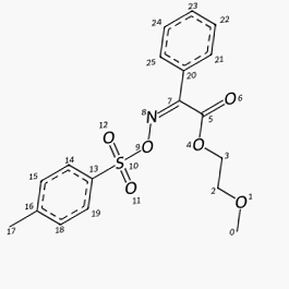 COCCOC(=O)C(=NOS(=O)(=O)c1ccc(C)cc1)c1ccccc1